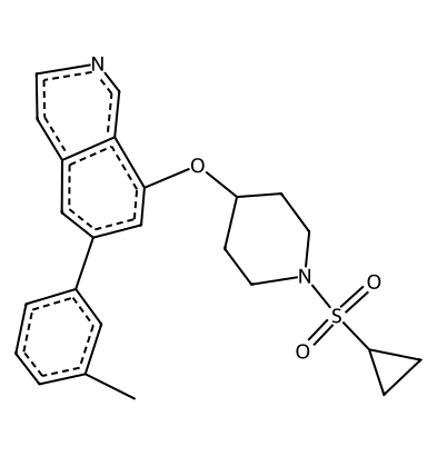 Cc1cccc(-c2cc(OC3CCN(S(=O)(=O)C4CC4)CC3)c3cnccc3c2)c1